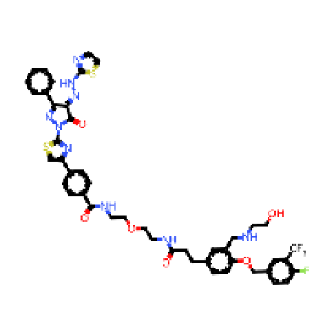 O=C(CCc1ccc(OCc2ccc(F)c(C(F)(F)F)c2)c(CNCCO)c1)NCCOCCNC(=O)c1ccc(-c2csc(N3N=C(c4ccccc4)/C(=N\Nc4nccs4)C3=O)n2)cc1